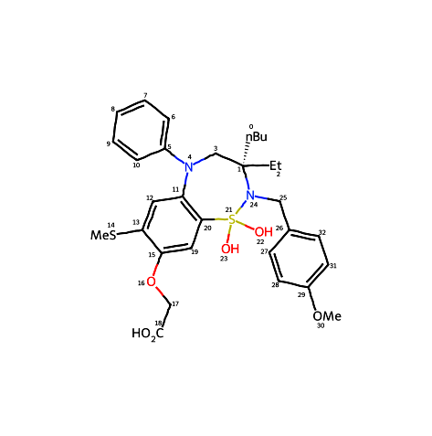 CCCC[C@@]1(CC)CN(c2ccccc2)c2cc(SC)c(OCC(=O)O)cc2S(O)(O)N1Cc1ccc(OC)cc1